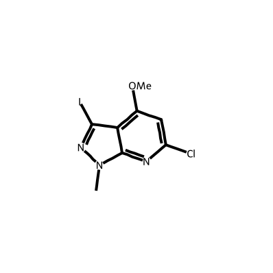 COc1cc(Cl)nc2c1c(I)nn2C